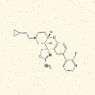 NC1=NC2(CO1)c1cc(-c3cccnc3F)ccc1O[C@H]1CCN(CCC3CC3)C[C@@H]12